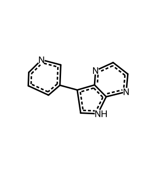 c1cncc(-c2c[nH]c3nccnc23)c1